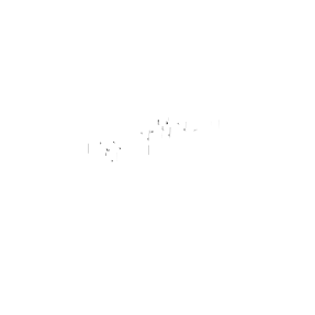 CN(CC(=O)O)[C@H](CC1CCCCC1)C(=O)N1CCC[C@H]1C(=O)NCC1CCN(C(=N)N)CC1